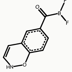 O=C(B(F)F)c1ccc2c(c1)C=CNO2